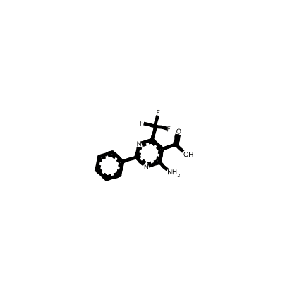 Nc1nc(-c2ccccc2)nc(C(F)(F)F)c1C(=O)O